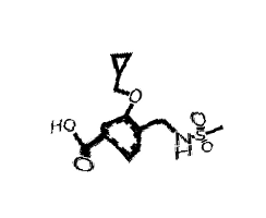 CS(=O)(=O)NCc1ccc(C(=O)O)cc1OCC1CC1